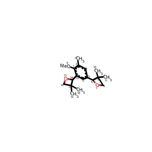 COc1c(C)cc(C2OCC2(C)C)cc1C1OCC1(C)C